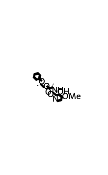 COc1ccnc(C(=O)N[C@@H](C)C(=O)OC[C@H](C)Oc2ccccc2)c1O